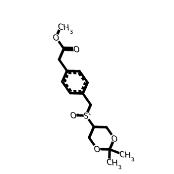 COC(=O)Cc1ccc(C[S+]([O-])C2COC(C)(C)OC2)cc1